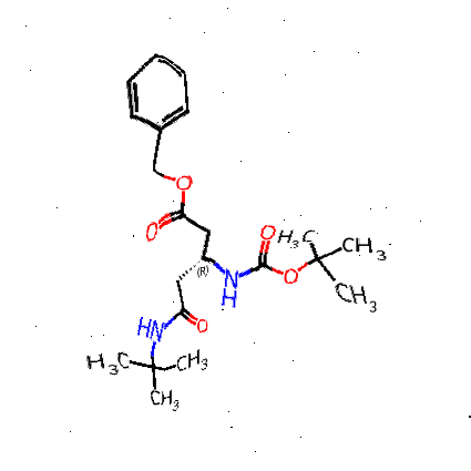 CC(C)(C)NC(=O)C[C@H](CC(=O)OCc1ccccc1)NC(=O)OC(C)(C)C